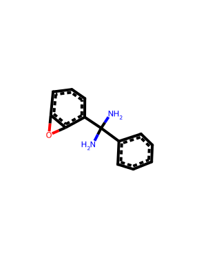 NC(N)(c1ccccc1)c1cccc2c1O2